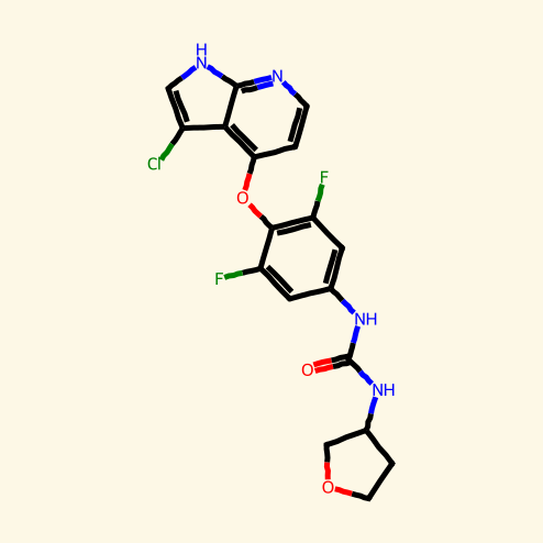 O=C(Nc1cc(F)c(Oc2ccnc3[nH]cc(Cl)c23)c(F)c1)NC1CCOC1